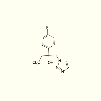 OC(Cn1ccnn1)(CC(Cl)(Cl)Cl)c1ccc(F)cc1